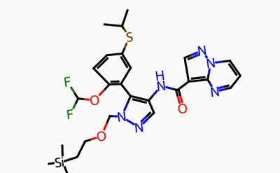 CC(C)Sc1ccc(OC(F)F)c(-c2c(NC(=O)c3cnn4cccnc34)cnn2COCC[Si](C)(C)C)c1